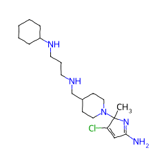 CC1(N2CCC(CNCCCNC3CCCCC3)CC2)N=C(N)C=C1Cl